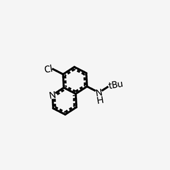 CC(C)(C)Nc1ccc(Cl)c2ncccc12